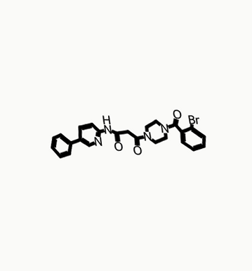 O=C(CC(=O)N1CCN(C(=O)c2ccccc2Br)CC1)Nc1ccc(-c2ccccc2)cn1